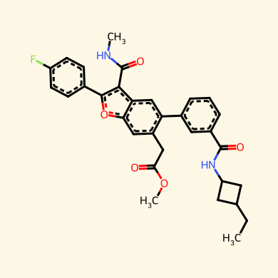 CCC1CC(NC(=O)c2cccc(-c3cc4c(C(=O)NC)c(-c5ccc(F)cc5)oc4cc3CC(=O)OC)c2)C1